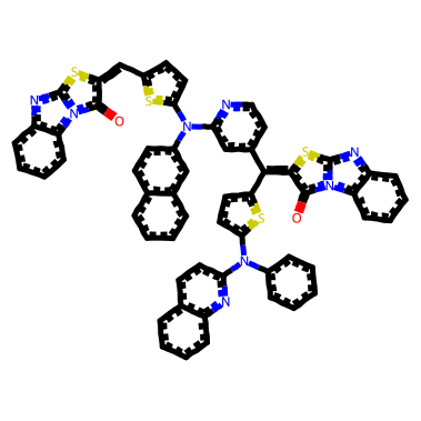 O=c1/c(=C\c2ccc(N(c3ccc4ccccc4c3)c3cc(/C(c4ccc(N(c5ccccc5)c5ccc6ccccc6n5)s4)=c4\sc5nc6ccccc6n5c4=O)ccn3)s2)sc2nc3ccccc3n12